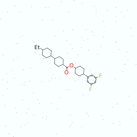 CCC1CCC(C2CCC(C(=O)OC3CCC(c4cc(F)cc(F)c4)CC3)CC2)CC1